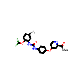 CNC(=O)c1cc(Oc2ccc(NC(=O)Nc3cc(C(F)(F)F)ccc3OC(F)F)cc2)ccn1